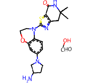 CC1(C)Cc2nc(N3CCOc4cc(N5CCC(N)C5)ccc43)sc2C(=O)N1.O=CO